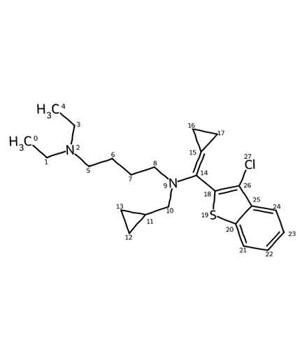 CCN(CC)CCCCN(CC1CC1)C(=C1CC1)c1sc2ccccc2c1Cl